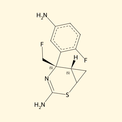 NC1=N[C@](CF)(c2cc(N)ccc2F)[C@@H]2CC2S1